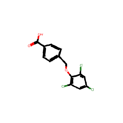 O=C(O)c1ccc(COc2c(Cl)cc(Cl)cc2Cl)cc1